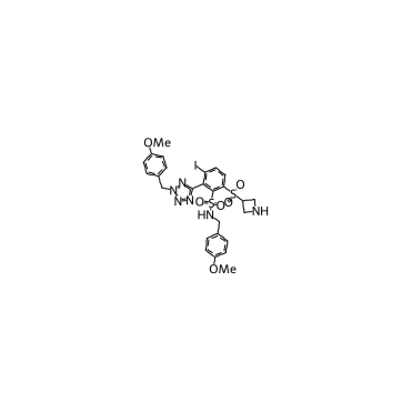 COc1ccc(CNS(=O)(=O)c2c(S(=O)(=O)C3CNC3)ccc(I)c2-c2nnn(Cc3ccc(OC)cc3)n2)cc1